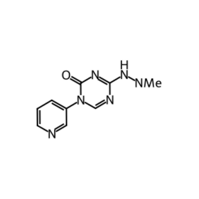 CNNc1ncn(-c2cccnc2)c(=O)n1